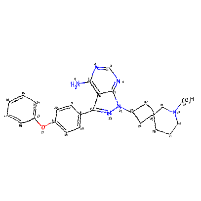 Nc1ncnc2c1c(-c1ccc(Oc3ccccc3)cc1)nn2C1CC2(CCCN(C(=O)O)C2)C1